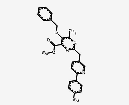 Cc1nc(Cc2ccc(-c3ccc(C(C)(C)C)cc3)nc2)nc(C(=O)OC(C)(C)C)c1OCc1ccccc1